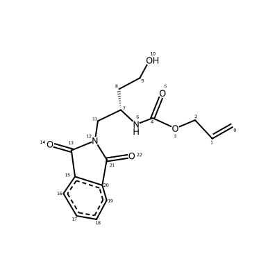 C=CCOC(=O)N[C@@H](CCO)CN1C(=O)c2ccccc2C1=O